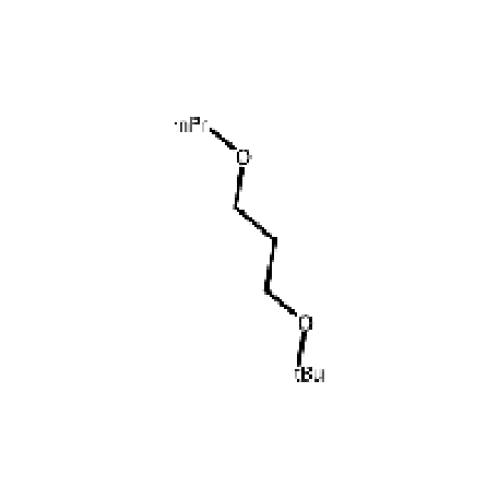 CC[CH]OCCCOC(C)(C)C